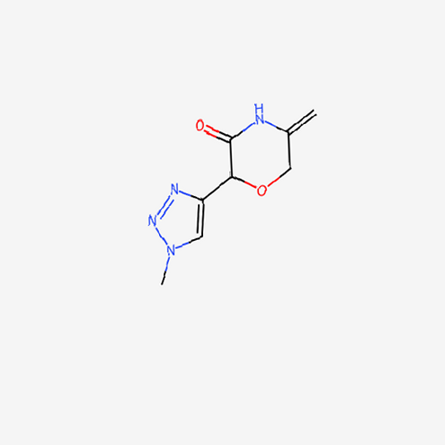 C=C1COC(c2cn(C)nn2)C(=O)N1